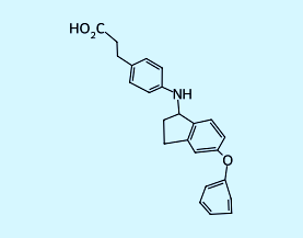 O=C(O)CCc1ccc(NC2CCc3cc(Oc4ccccc4)ccc32)cc1